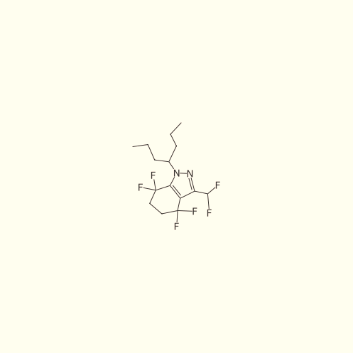 CCCC(CCC)n1nc(C(F)F)c2c1C(F)(F)CCC2(F)F